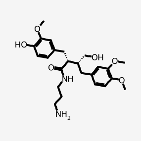 COc1cc(C[C@@H](C(=O)NCCCN)[C@H](CO)Cc2ccc(OC)c(OC)c2)ccc1O